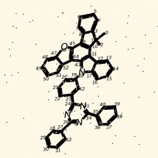 CC1(C)c2ccccc2-c2c1c1c3ccccc3n(-c3cccc(-c4nc(-c5ccccc5)nc(-c5ccccc5)n4)c3)c1c1c2oc2ccccc21